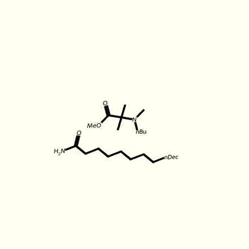 CCCCCCCCCCCCCCCCCC(N)=O.CCCCN(C)C(C)(C)C(=O)OC